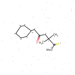 COC(=S)C(C)(C)CC(=O)CC1CCCCC1